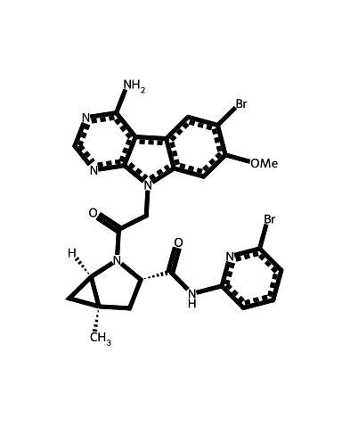 COc1cc2c(cc1Br)c1c(N)ncnc1n2CC(=O)N1[C@H](C(=O)Nc2cccc(Br)n2)C[C@@]2(C)C[C@@H]12